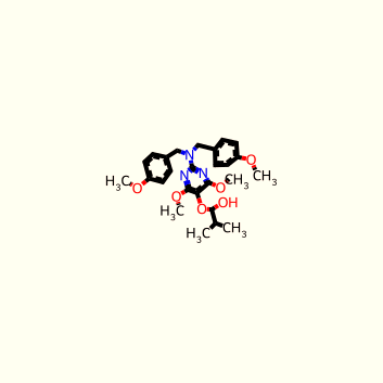 COc1ccc(CN(Cc2ccc(OC)cc2)c2nc(OC)c(OC(O)C(C)C)c(OC)n2)cc1